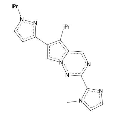 CC(C)c1c(-c2ccn(C(C)C)n2)cn2nc(-c3nccn3C)ncc12